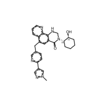 Cn1cc(-c2ccc(Cc3cc4c(c5ncccc35)NCN([C@H]3CCCC[C@@H]3O)C4=O)cn2)cn1